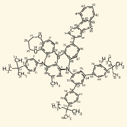 Cc1cc2c3c(c1)N(c1ccc(C(C)(C)C)cc1)c1c(ccc4c1OCCCO4)B3c1cc(-c3ccc4c(c3)sc3ccccc34)ccc1N2c1cc(-c2ccc(C(C)(C)C)cc2)cc(-c2ccc(C(C)(C)C)cc2)c1